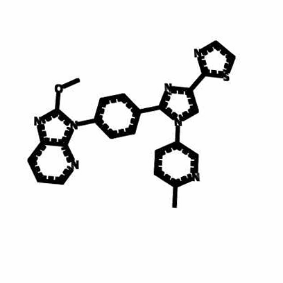 COc1nc2cccnc2n1-c1ccc(-c2nc(-c3nccs3)cn2-c2ccc(C)nc2)cc1